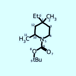 CCC1(C)CCN(C(=O)OC(C)(C)C)C(C)C1